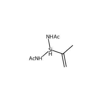 C=C(C)[SiH](NC(C)=O)NC(C)=O